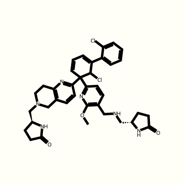 COc1nc(C2(c3ccc4c(n3)CCN(C[C@@H]3CCC(=O)N3)C4)C=CC=C(c3ccccc3Cl)C2Cl)ccc1CNC[C@@H]1CCC(=O)N1